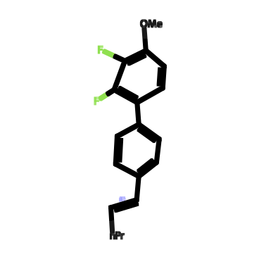 CCC/C=C/c1ccc(-c2ccc(OC)c(F)c2F)cc1